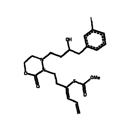 C=C/C=C(/CCN1C(=O)OCCN1CCC(O)Cc1cccc(I)c1)SC(=O)OC